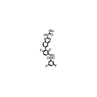 CC(C)(C)C(=O)Nc1ncc2cc(-c3c(F)ccc(NS(=O)(=O)c4cc(F)cc(F)c4)c3F)ccc2n1